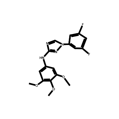 COc1cc(Nc2ncn(-c3cc(F)cc(F)c3)n2)cc(OC)c1OC